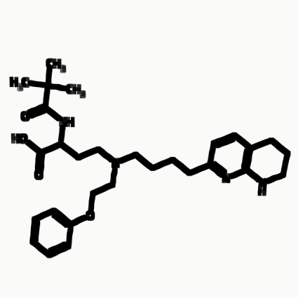 CC(C)(C)C(=O)NC(CCN(CCCCc1ccc2c(n1)NCCC2)CCOc1ccccc1)C(=O)O